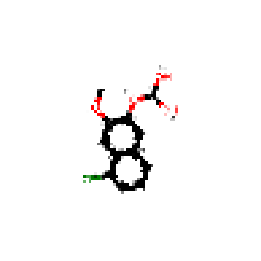 COc1cc2c(Cl)cccc2cc1OB(O)O